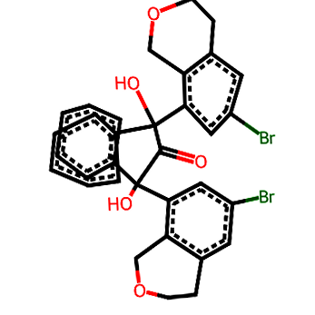 O=C(C(O)(c1ccccc1)c1cc(Br)cc2c1COCC2)C(O)(c1ccccc1)c1cc(Br)cc2c1COCC2